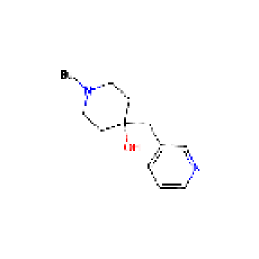 CCC(C)N1CCC(O)(Cc2cccnc2)CC1